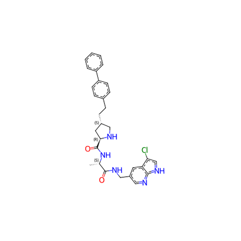 C[C@H](NC(=O)[C@H]1C[C@H](CCc2ccc(-c3ccccc3)cc2)CN1)C(=O)NCc1cnc2[nH]cc(Cl)c2c1